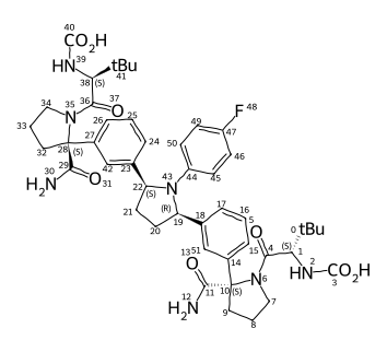 CC(C)(C)[C@H](NC(=O)O)C(=O)N1CCC[C@@]1(C(N)=O)c1cccc([C@H]2CC[C@@H](c3cccc([C@]4(C(N)=O)CCCN4C(=O)[C@@H](NC(=O)O)C(C)(C)C)c3)N2c2ccc(F)cc2)c1